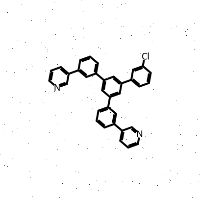 Clc1cccc(-c2cc(-c3cccc(-c4cccnc4)c3)cc(-c3cccc(-c4cccnc4)c3)c2)c1